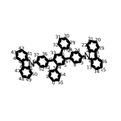 c1ccc(-c2cc(-c3ccc(-n4c5ccccc5c5ccccc54)cc3)c(-c3ccccc3)cc2-c2ccc(-n3c4ccccc4c4ccccc43)cc2)cc1